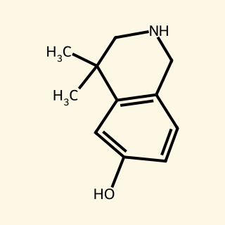 CC1(C)CNCc2ccc(O)cc21